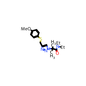 CCN(CC)C(=O)C(C)(C)n1cc(CSc2ccc(OC)cc2)nn1